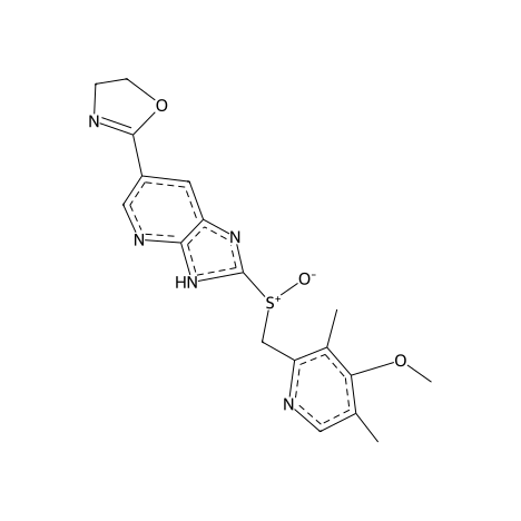 COc1c(C)cnc(C[S+]([O-])c2nc3cc(C4=NCCO4)cnc3[nH]2)c1C